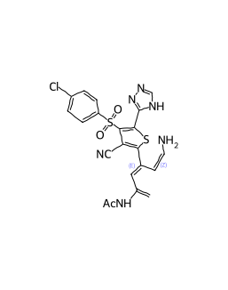 C=C(/C=C(\C=C/N)c1sc(-c2nnc[nH]2)c(S(=O)(=O)c2ccc(Cl)cc2)c1C#N)NC(C)=O